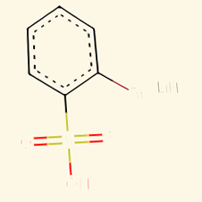 O=S(=O)(O)c1ccccc1Br.[LiH]